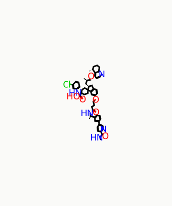 CNC(=O)c1ccc(-c2cccc([C@@H](C)NC(=O)CCCOc3ccc4c(c3)C3(CCC(Nc5cccc(Cl)c5)(C(=O)O)CC3)[C@@H](C[C@@H](C)COc3ccnc5c3[C@H](C)CCC5)C4)c2)cn1